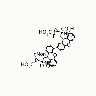 CCCCCCCCCC1C(C(N)(CC2c3ccccc3Oc3c(-c4ccc5c(c4)C(CC(N)(C(=O)O)C4C[C@]4(F)C(=O)O)c4ccccc4O5)cccc32)C(=O)O)[C@H]1C(=O)O